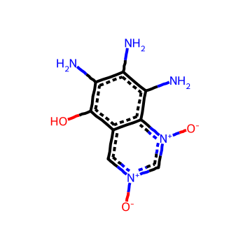 Nc1c(N)c(N)c2c(c[n+]([O-])c[n+]2[O-])c1O